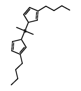 CCCCC1=CC([Si](C)(C)C2C=CC(CCCC)=C2)C=C1